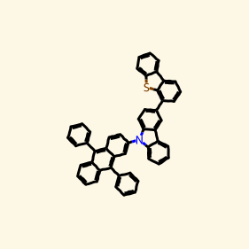 c1ccc(-c2c3ccccc3c(-c3ccccc3)c3cc(-n4c5ccccc5c5cc(-c6cccc7c6sc6ccccc67)ccc54)ccc23)cc1